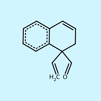 C=CC1(C=O)CC=Cc2ccccc21